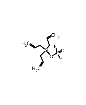 C=CC[Si](CC=C)(CC=C)OP(=O)(F)F